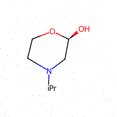 CC(C)N1CCO[C@@H](O)C1